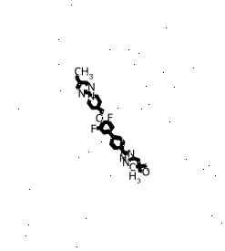 CCc1cnc(N2CCC(COc3c(F)cc(-c4ccc(C5=NC(CC6(C)COC6)N=N5)cc4)cc3F)CC2)nc1